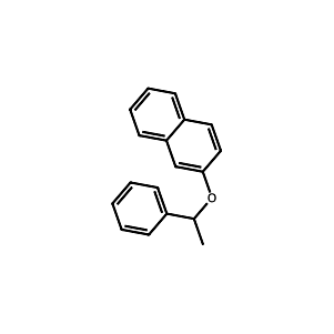 CC(Oc1ccc2ccccc2c1)c1ccccc1